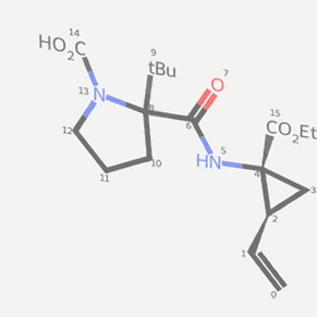 C=C[C@@H]1C[C@]1(NC(=O)C1(C(C)(C)C)CCCN1C(=O)O)C(=O)OCC